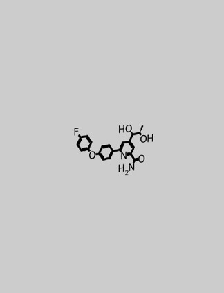 C[C@@H](O)[C@H](O)c1cc(C(N)=O)nc(-c2ccc(Oc3ccc(F)cc3)cc2)c1